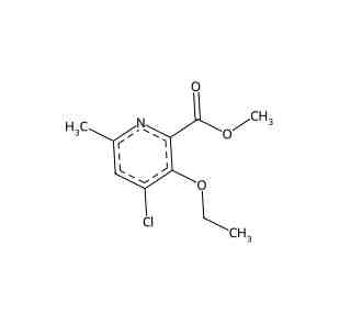 CCOc1c(Cl)cc(C)nc1C(=O)OC